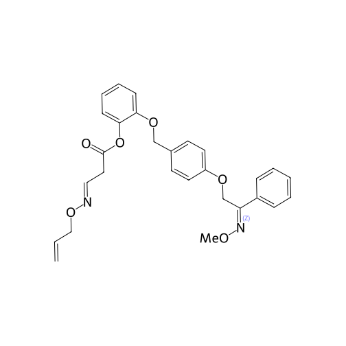 C=CCON=CCC(=O)Oc1ccccc1OCc1ccc(OC/C(=N\OC)c2ccccc2)cc1